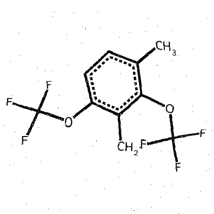 [CH2]c1c(OC(F)(F)F)ccc(C)c1OC(F)(F)F